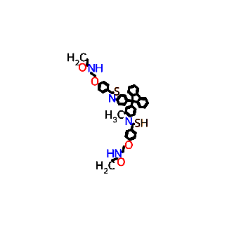 C=CC(=O)NCCOc1ccc(/C(S)=N/c2ccc(C3(c4ccc5nc(-c6ccc(OCCNC(=O)C=C)cc6)sc5c4)c4ccccc4-c4ccccc43)cc2C)cc1